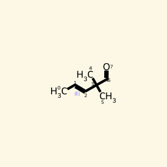 C/C=C/C(C)(C)[C]=O